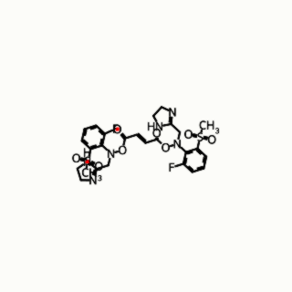 CS(=O)(=O)c1cccc(F)c1N(CC1=NCCN1)OC(=O)/C=C/C(=O)ON(CC1=NCCN1)c1c(F)cccc1S(C)(=O)=O